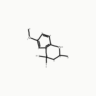 COc1ccc2c(c1)C(I)(I)CC(C)O2